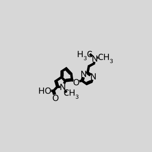 CN(C)CCc1nccc(Oc2cccc3cc(C(=O)O)n(C)c23)n1